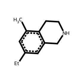 CCc1cc(C)c2c(c1)CNCC2